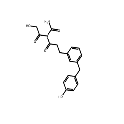 NC(=O)N(C(=O)CO)C(=O)CCc1cccc(Cc2ccc(O)cc2)c1